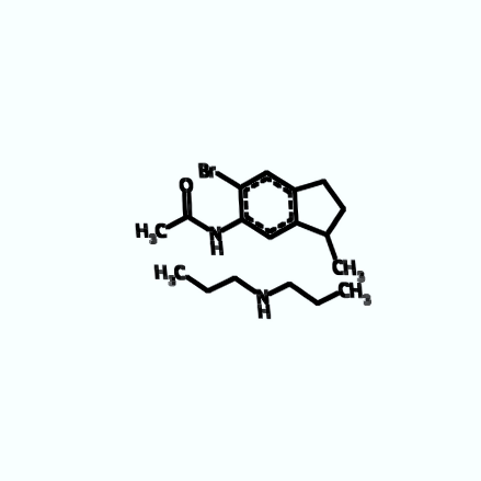 CC(=O)Nc1cc2c(cc1Br)CCC2C.CCCNCCC